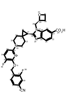 N#Cc1ccc(COc2nc(N3CCC4(CC3)C[C@H]4c3nc4ccc(C(=O)O)cc4n3C[C@@H]3CCO3)ccc2F)c(F)c1